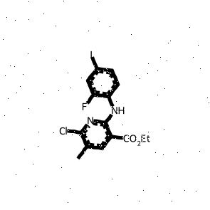 CCOC(=O)c1cc(C)c(Cl)nc1Nc1ccc(I)cc1F